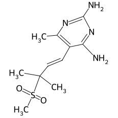 Cc1nc(N)nc(N)c1C=CC(C)(C)S(C)(=O)=O